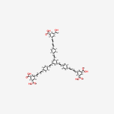 C=C(O)c1cc(C#CC#Cc2ccc(C#Cc3cc(C#Cc4ccc(C#CC#Cc5cc(C(=O)O)cc(C(=O)O)c5)cc4)cc(C#Cc4ccc(C#CC#Cc5cc(C(=O)O)cc(C(=O)O)c5)cc4)c3)cc2)cc(C(=O)O)c1